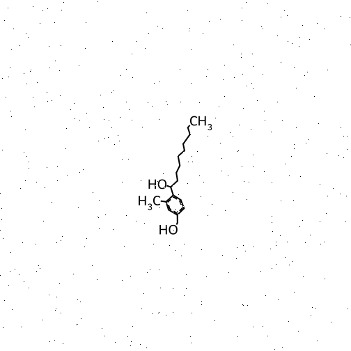 CCCCCCCCCC(O)c1ccc(CO)cc1C